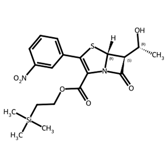 C[C@@H](O)[C@H]1C(=O)N2C(C(=O)OCC[Si](C)(C)C)=C(c3cccc([N+](=O)[O-])c3)S[C@H]12